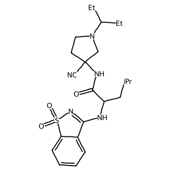 CCC(CC)N1CCC(C#N)(NC(=O)C(CC(C)C)NC2=NS(=O)(=O)c3ccccc32)C1